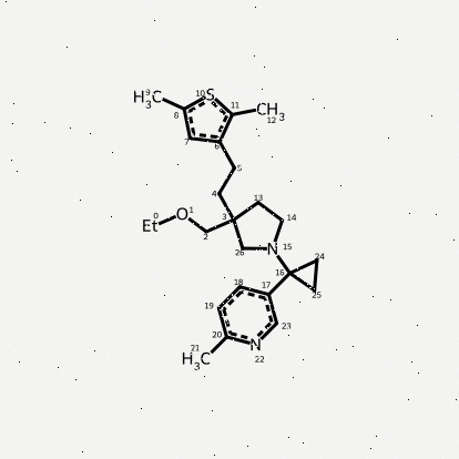 CCOCC1(CCc2cc(C)sc2C)CCN(C2(c3ccc(C)nc3)CC2)C1